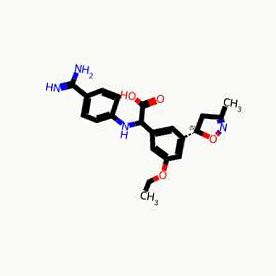 CCOc1cc(C(Nc2ccc(C(=N)N)cc2)C(=O)O)cc([C@@H]2CC(C)=NO2)c1